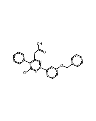 O=C(O)Cc1nc(-c2cccc(OCc3ccccc3)c2)nc(Cl)c1-c1ccccc1